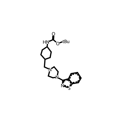 CC(C)(C)OC(=O)NC1CCC(CN2CCN(c3nsc4ccccc34)CC2)CC1